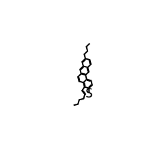 CCCCc1ccc2cc3c(ccc4c5cc(CCCC)sc5ccc34)cc2c1